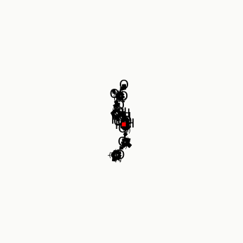 C=C1C[C@H](CC[C@@]23C[C@H]4O[C@H]5[C@@H](O2)[C@H]2O[C@@H](CC(=O)C[C@@H]6[C@@H](OC)[C@@H](CC=O)O[C@H]6C)CC[C@@H]2O[C@H]5[C@H]4O3)O[C@H]1CC[C@H]1C[C@@H](C)C(=C)[C@@H](C)O1